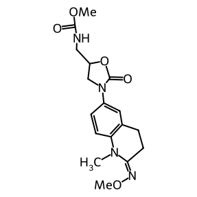 CON=C1CCc2cc(N3CC(CNC(=O)OC)OC3=O)ccc2N1C